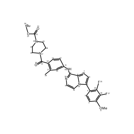 COc1ccc(-c2cnc3c(Nc4ccc(C(=O)N5CCN(C(=O)OC(C)(C)C)CC5)c(C)c4)nccn23)c(F)c1F